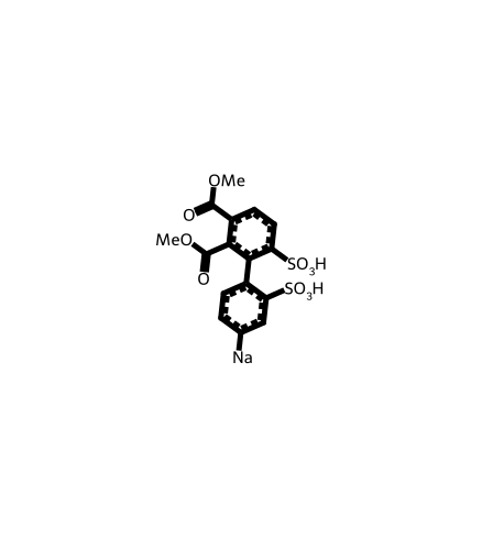 COC(=O)c1ccc(S(=O)(=O)O)c(-c2cc[c]([Na])cc2S(=O)(=O)O)c1C(=O)OC